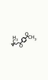 CC(=O)c1ccc(C(=O)CCC2(C)CC2)cc1